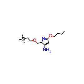 CCCCOC1=NC(COCC[Si](C)(C)C)C(N)=C1